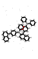 c1ccc(N(c2ccccc2)c2ccc(-c3c(N(c4ccccc4)c4ccc(-c5cccc6ccccc56)cc4)ccc4ccccc34)cc2)cc1